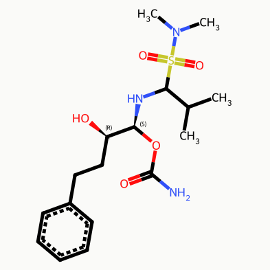 CC(C)C(N[C@@H](OC(N)=O)[C@H](O)CCc1ccccc1)S(=O)(=O)N(C)C